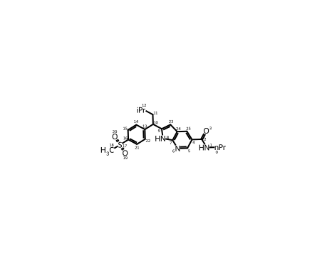 CCCNC(=O)c1cnc2[nH]c(C(CC(C)C)c3ccc(S(C)(=O)=O)cc3)cc2c1